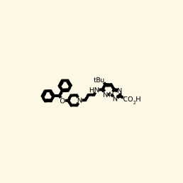 CC(C)(C)c1cc2nc(C(=O)O)nn2nc1NCCCN1CCC(OC(c2ccccc2)c2ccccc2)CC1